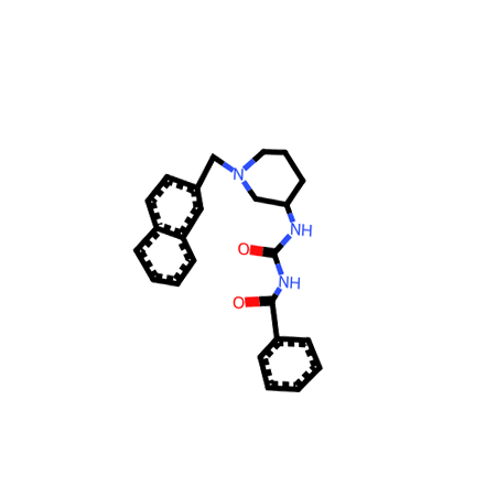 O=C(NC(=O)c1ccccc1)NC1CCCN(Cc2ccc3ccccc3c2)C1